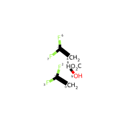 C=C(F)F.C=C(F)F.O=C(O)O